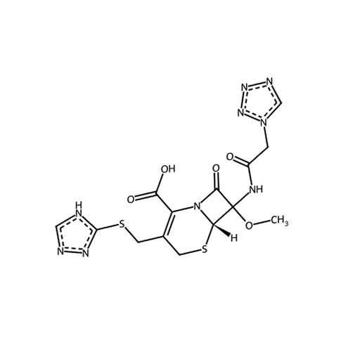 COC1(NC(=O)Cn2cnnn2)C(=O)N2C(C(=O)O)=C(CSc3nnc[nH]3)CS[C@H]21